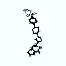 CNS(=O)(=O)c1ccc(N2CCC(N3CCC(c4cc5ccccc5c(=O)[nH]4)C3)CC2)cc1